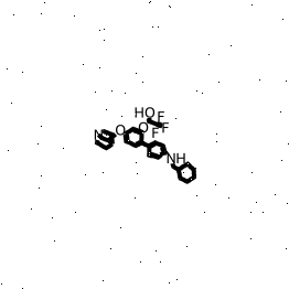 O=C(O)C(F)(F)F.c1cc(-c2ccc(OC3CN4CCC3CC4)cc2)ccc1NCC1CCCCC1